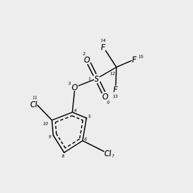 O=S(=O)(Oc1cc(Cl)ccc1Cl)C(F)(F)F